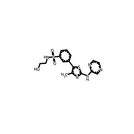 Cc1nc(Nc2cnccn2)sc1-c1cccc(S(=O)(=O)NCCO)c1